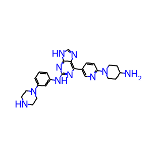 NC1CCN(c2ccc(-c3nc(Nc4cccc(N5CCNCC5)c4)nc4[nH]cnc34)cn2)CC1